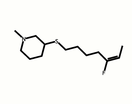 C/C=C(/F)CCCCSC1CCCN(C)C1